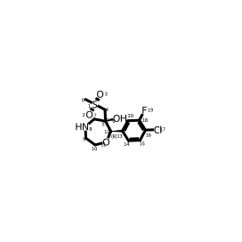 CS(=O)(=O)C[C@@]1(O)CNCCO[C@@H]1c1ccc(Cl)c(F)c1